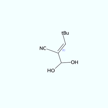 CC(C)(C)/C=C(\C#N)C(O)O